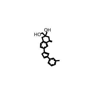 C=C1CC(CO)(CO)Cc2ccc(C3=CC(c4cccc(C)c4)=CC3)cc21